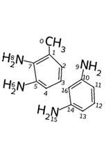 Cc1cccc(N)c1N.Nc1cccc(N)c1